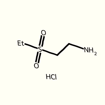 CCS(=O)(=O)CCN.Cl